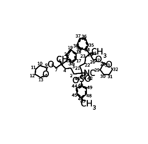 [C-]#[N+]C(CCCC(C)(COC1CCCCO1)c1ccccc1)(CCCC(C)(COC1CCCCO1)c1ccccc1)S(=O)(=O)c1ccc(C)cc1